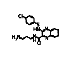 NCCCNC(=O)c1nc2ccccc2nc1NSc1ccc(Cl)cc1